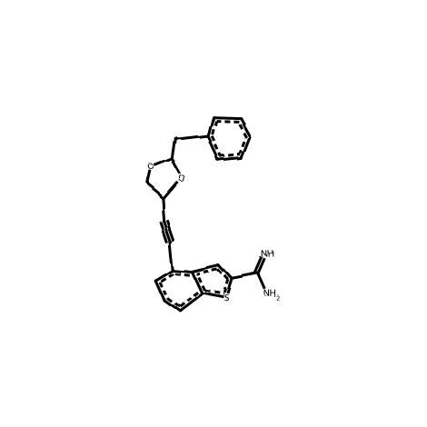 N=C(N)c1cc2c(C#CC3COC(Cc4ccccc4)O3)cccc2s1